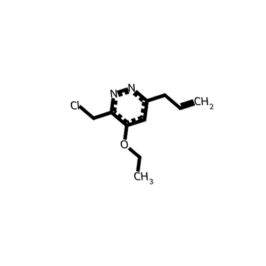 C=CCc1cc(OCC)c(CCl)nn1